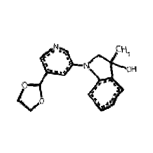 CC1(O)CN(c2cncc(C3OCCO3)c2)c2ccccc21